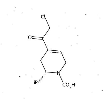 CC(C)[C@@H]1CC(C(=O)CCl)=CCN1C(=O)O